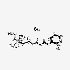 C[N+](C)(CCO)CCCCCCOc1cccnc1I.[Br-]